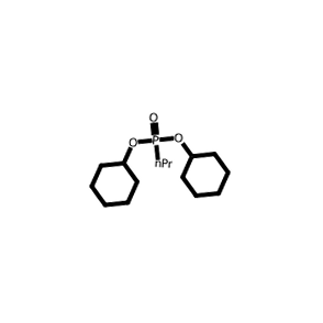 CCCP(=O)(OC1CCCCC1)OC1CCCCC1